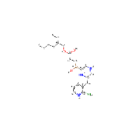 CCCCC(CC)COC(=O)CC[S+]([O-])C1=CN=CC(Cc2cccnc2Cl)N1